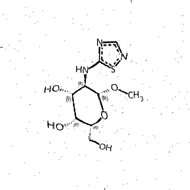 CO[C@@H]1O[C@H](CO)[C@H](O)[C@H](O)[C@H]1Nc1ncns1